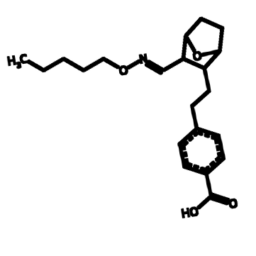 CCCCCON=CC1C2CCC(O2)C1CCc1ccc(C(=O)O)cc1